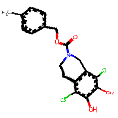 O=C(OCc1ccc(C(F)(F)F)cc1)N1CCc2c(Cl)c(O)c(O)c(Cl)c2C1